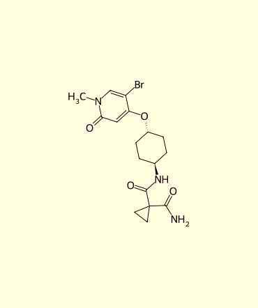 Cn1cc(Br)c(O[C@H]2CC[C@H](NC(=O)C3(C(N)=O)CC3)CC2)cc1=O